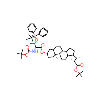 CC(O[Si](c1ccccc1)(c1ccccc1)C(C)(C)C)[C@H](NC(=O)OC(C)(C)C)C(=O)O[C@@H]1CC[C@@]2(C)C(CCC3C2CC[C@@]2(C)C3CCC2[C@H](C)CC(=O)OC(C)(C)C)C1